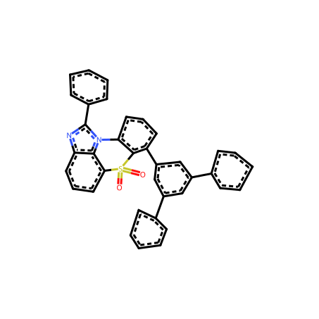 O=S1(=O)c2c(-c3cc(-c4ccccc4)cc(-c4ccccc4)c3)cccc2-n2c(-c3ccccc3)nc3cccc1c32